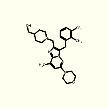 Cc1c(Cc2c(CN3CCC(CO)CC3)nc3c(C)cc(N4CCOCC4)nn23)cccc1C(F)(F)F